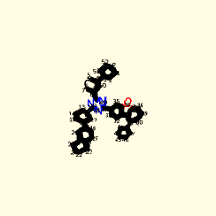 c1ccc(-c2cccc(-c3nc(-c4cccc(-c5ccc6ccccc6c5)c4)nc(-c4ccc5c(c4)oc4cccc(-c6ccccc6)c45)n3)c2)cc1